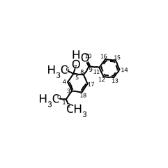 CC(C)C1=CC(C)(O)C(C(=O)c2ccccc2)C=C1